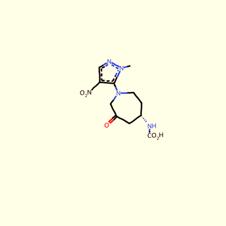 Cn1ncc([N+](=O)[O-])c1N1CC[C@H](NC(=O)O)CC(=O)C1